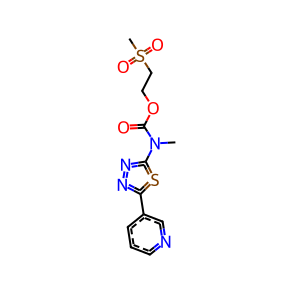 CN(C(=O)OCCS(C)(=O)=O)c1nnc(-c2cccnc2)s1